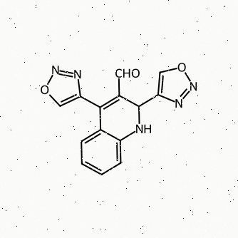 O=CC1=C(c2conn2)c2ccccc2NC1c1conn1